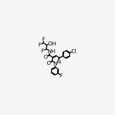 O=C(NC(F)C(O)C(F)F)c1cc(-c2ccc(Cl)cc2)nn(-c2cccc(F)c2)c1=O